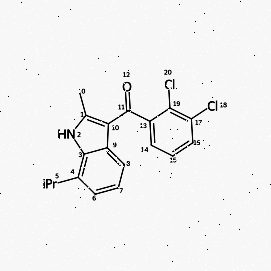 Cc1[nH]c2c(C(C)C)cccc2c1C(=O)c1cccc(Cl)c1Cl